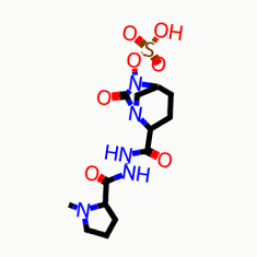 CN1CCCC1C(=O)NNC(=O)C1CCC2CN1C(=O)N2OS(=O)(=O)O